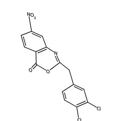 O=c1oc(Cc2ccc(Cl)c(Cl)c2)nc2cc([N+](=O)[O-])ccc12